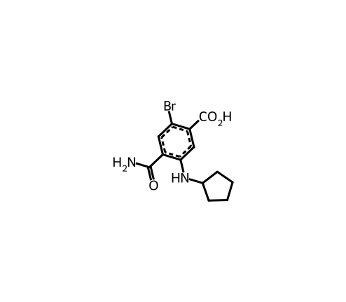 NC(=O)c1cc(Br)c(C(=O)O)cc1NC1CCCC1